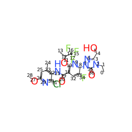 CCn1c(CO)nn(-c2nc(OC(C)C(F)(F)F)c(C(=O)Nc3c(C)cc(OC)nc3Cl)cc2F)c1=O